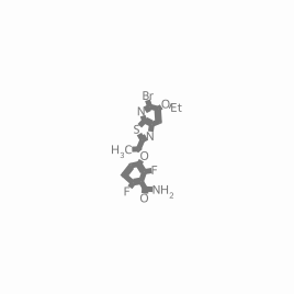 CCOc1cc2nc(C(C)Oc3ccc(F)c(C(N)=O)c3F)sc2nc1Br